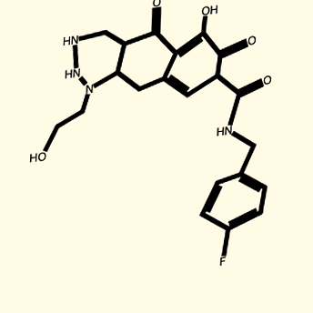 O=C(NCc1ccc(F)cc1)C1C=C2CC3C(CNNN3CCO)C(=O)C2=C(O)C1=O